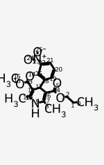 CCCOC(=O)C1=C(C)NC(C)=C(C(=O)OC)C1c1cccc([N+](=O)[O-])c1